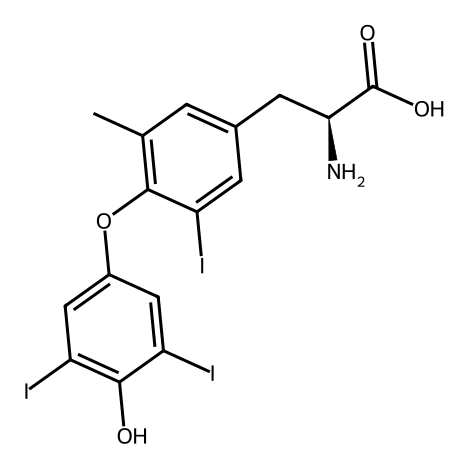 Cc1cc(C[C@H](N)C(=O)O)cc(I)c1Oc1cc(I)c(O)c(I)c1